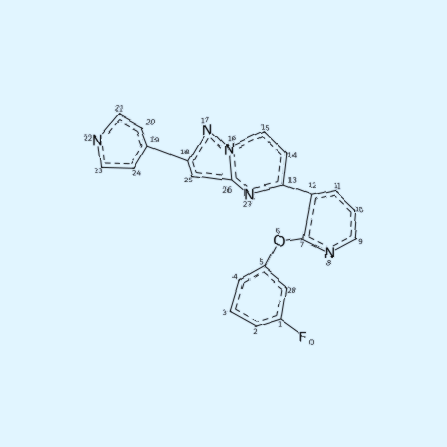 Fc1cccc(Oc2ncccc2-c2ccn3nc(-c4ccncc4)cc3n2)c1